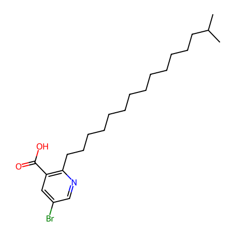 CC(C)CCCCCCCCCCCCCc1ncc(Br)cc1C(=O)O